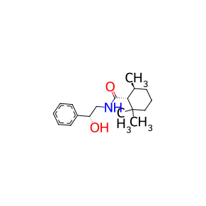 C[C@H]1CCCC(C)(C)[C@@H]1C(=O)NC[C@H](O)c1ccccc1